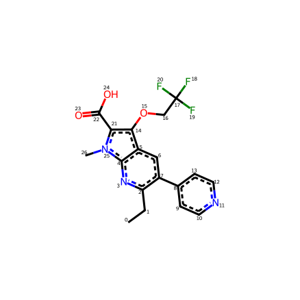 CCc1nc2c(cc1-c1ccncc1)c(OCC(F)(F)F)c(C(=O)O)n2C